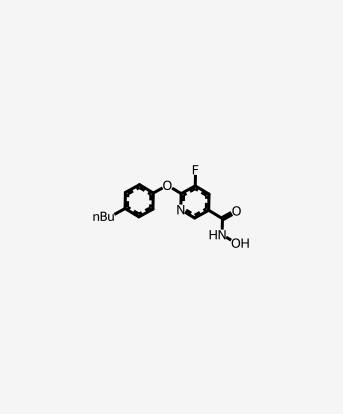 CCCCc1ccc(Oc2ncc(C(=O)NO)cc2F)cc1